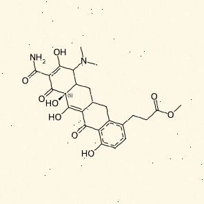 COC(=O)CCc1ccc(O)c2c1CC1CC3C(N(C)C)C(O)=C(C(N)=O)C(=O)[C@@]3(O)C(O)=C1C2=O